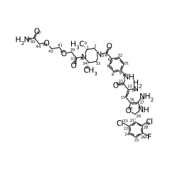 C[C@@H]1CN(C(=O)c2ccc(NC(=O)/C(N)=C/C3=C(N)N[C@H](c4c(Cl)ccc(F)c4Cl)O3)cc2)C[C@H](C)N1C(=O)COCCOCC(N)=O